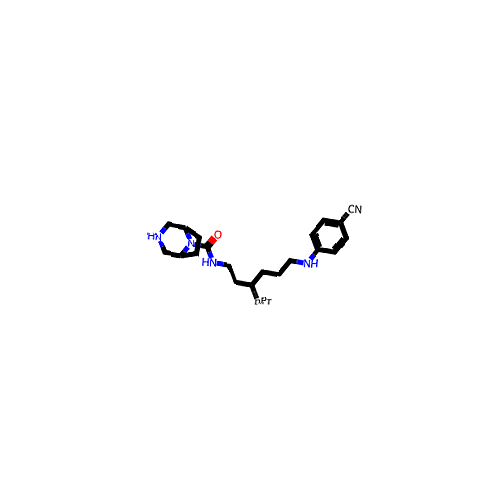 CCCC(CCCNc1ccc(C#N)cc1)CCNC(=O)N1C2CCC1CNC2